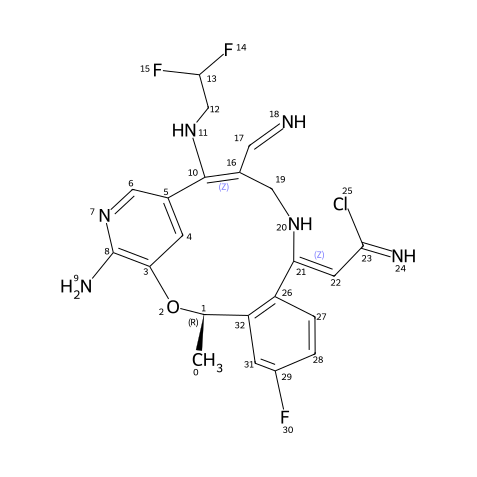 C[C@H]1Oc2cc(cnc2N)/C(NCC(F)F)=C(/C=N)CN/C(=C\C(=N)Cl)c2ccc(F)cc21